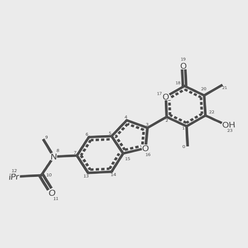 Cc1c(-c2cc3cc(N(C)C(=O)C(C)C)ccc3o2)oc(=O)c(C)c1O